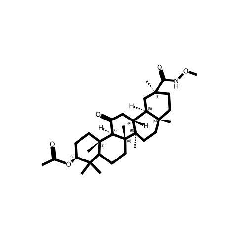 CONC(=O)[C@@]1(C)CC[C@]2(C)CC[C@]3(C)[C@H](CC(=O)[C@@H]4[C@@]5(C)CC[C@H](OC(C)=O)C(C)(C)C5CC[C@]43C)[C@H]2C1